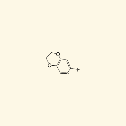 Fc1[c]cc2c(c1)OCCO2